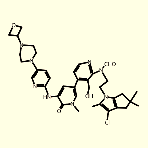 Cc1c(Cl)c2c(n1CCN(C=O)c1nccc(-c3cc(Nc4ccc(N5CCN(C6COC6)CC5)cn4)c(=O)n(C)c3)c1CO)CC(C)(C)C2